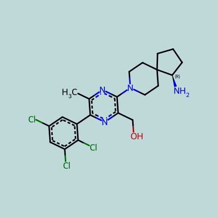 Cc1nc(N2CCC3(CCC[C@H]3N)CC2)c(CO)nc1-c1cc(Cl)cc(Cl)c1Cl